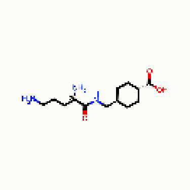 NCCC[C@H](N)C(=O)NC[C@H]1CC[C@H](C(=O)O)CC1